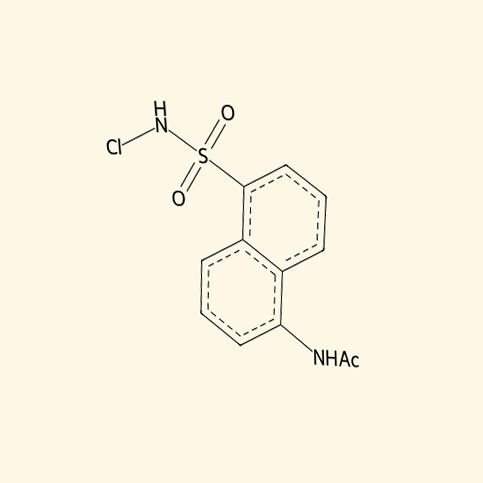 CC(=O)Nc1cccc2c(S(=O)(=O)NCl)cccc12